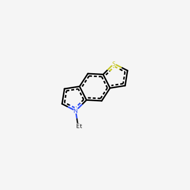 CCn1ccc2cc3sccc3cc21